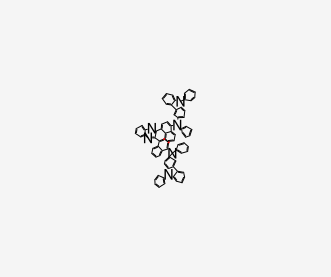 c1ccc(N(c2ccc3c(c2)c2ccccc2n3-c2ccccc2)c2ccc(-c3nc4ccccc4nc3-c3ccc(N(c4ccccc4)c4ccc5c(c4)c4ccccc4n5-c4ccccc4)c4ccccc34)c3ccccc23)cc1